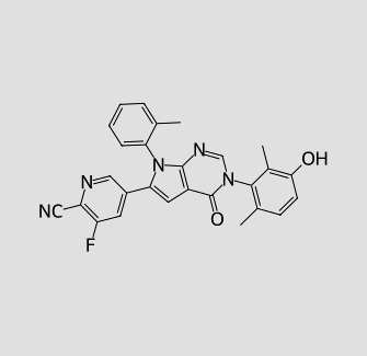 Cc1ccccc1-n1c(-c2cnc(C#N)c(F)c2)cc2c(=O)n(-c3c(C)ccc(O)c3C)cnc21